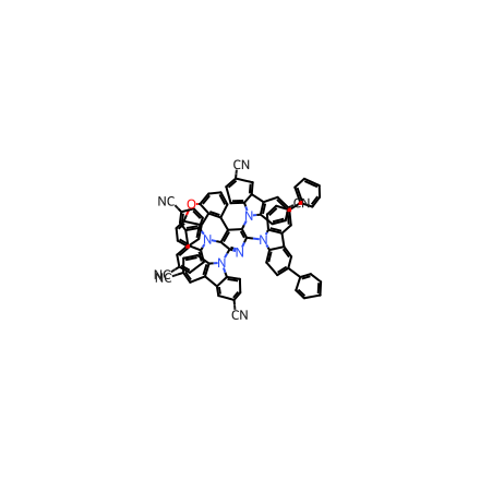 N#Cc1ccc2c(c1)c1cc(C#N)ccc1n2-c1nc(-n2c3ccc(-c4ccccc4)cc3c3cc(-c4ccccc4)ccc32)c(-n2c3ccc(C#N)cc3c3cc(C#N)ccc32)c(-c2cccc3oc4ccccc4c23)c1-n1c2ccc(C#N)cc2c2cc(C#N)ccc21